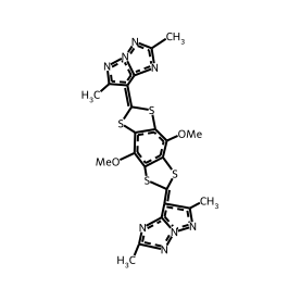 COc1c2c(c(OC)c3c1SC(=c1c(C)nn4nc(C)nc14)S3)SC(=c1c(C)nn3nc(C)nc13)S2